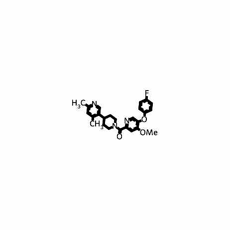 COc1cc(C(=O)N2CCC(c3cnc(C)cc3C)CC2)ncc1Oc1ccc(F)cc1